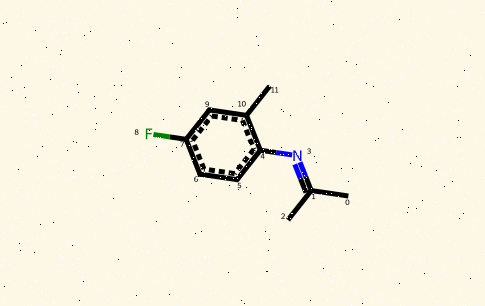 CC(C)=Nc1ccc(F)cc1C